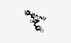 C[Si](C)(C)CCOCn1nc(-c2ccnnc2)cc1N1C(=O)C(Cc2ccc(Cl)nc2)C2CC21